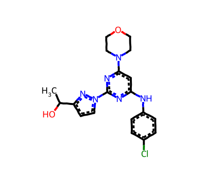 CC(O)c1ccn(-c2nc(Nc3ccc(Cl)cc3)cc(N3CCOCC3)n2)n1